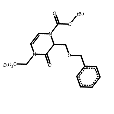 CCOC(=O)CN1C=CN(C(=O)OC(C)(C)C)C(COCc2ccccc2)C1=O